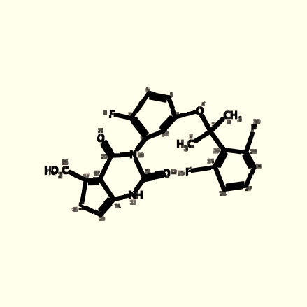 CC(C)(Oc1ccc(F)c(-n2c(=O)[nH]c3csc(C(=O)O)c3c2=O)c1)c1c(F)cccc1F